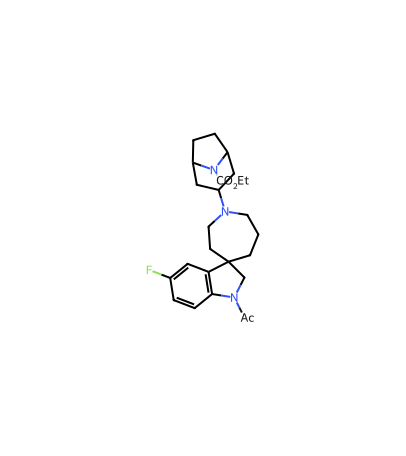 CCOC(=O)N1C2CCC1CC(N1CCCC3(CC1)CN(C(C)=O)c1ccc(F)cc13)C2